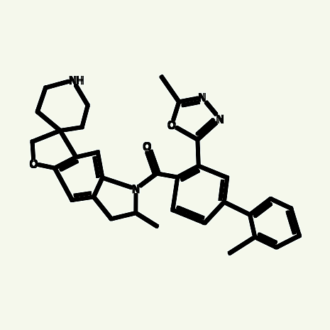 Cc1nnc(-c2cc(-c3ccccc3C)ccc2C(=O)N2c3cc4c(cc3CC2C)OCC42CCNCC2)o1